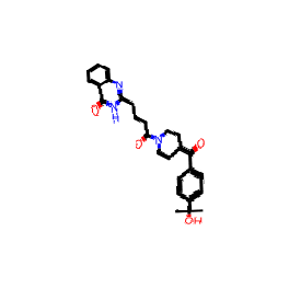 CC(C)(O)c1ccc(C(=O)C2CCN(C(=O)CCCc3nc4ccccc4c(=O)[nH]3)CC2)cc1